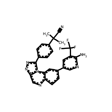 CC(C)(C#N)c1ccc(-c2nnc3cnc4ccc(-c5cnc(N)c(C(F)(F)F)c5)cc4n23)cc1